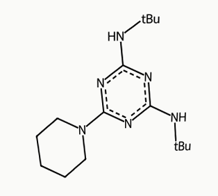 CC(C)(C)Nc1nc(NC(C)(C)C)nc(N2CCCCC2)n1